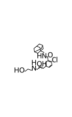 O=C(NCC12CC3CC(CC(C3)C1)C2)c1cc(C[C@@H](O)CNCCCO)ccc1Cl